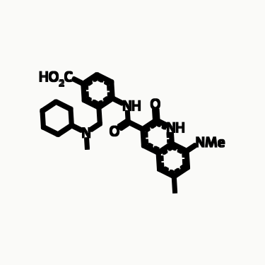 CNc1cc(C)cc2cc(C(=O)Nc3ccc(C(=O)O)cc3CN(C)C3CCCCC3)c(=O)[nH]c12